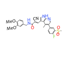 COc1ccc(CNC(=O)/C(C#N)=C/c2c[nH]c3ncc(-c4ccc(F)c(S(C)(=O)=O)c4)c(C)c23)cc1OC